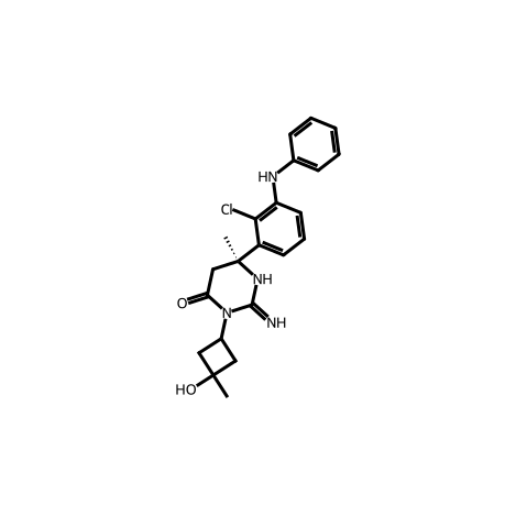 CC1(O)CC(N2C(=N)N[C@](C)(c3cccc(Nc4ccccc4)c3Cl)CC2=O)C1